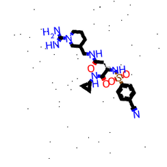 N#Cc1ccc(S(=O)(=O)N[C@@H](CC(=O)NCC2CCCN(C(=N)N)C2)C(=O)NC2CC2)cc1